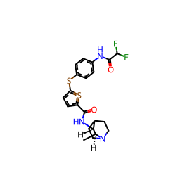 C[C@H]1[C@H](NC(=O)c2ccc(Sc3ccc(NC(=O)C(F)F)cc3)s2)C2CCN1CC2